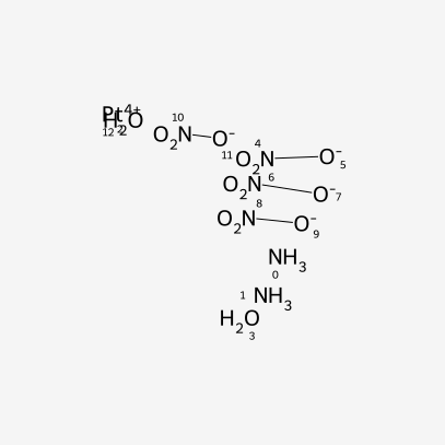 N.N.O.O.O=[N+]([O-])[O-].O=[N+]([O-])[O-].O=[N+]([O-])[O-].O=[N+]([O-])[O-].[Pt+4]